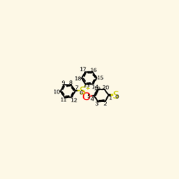 S=C1C=CC(O[S+](c2ccccc2)c2ccccc2)=CC1